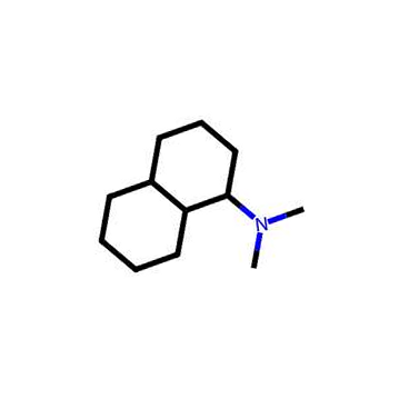 CN(C)C1CCCC2CCCCC21